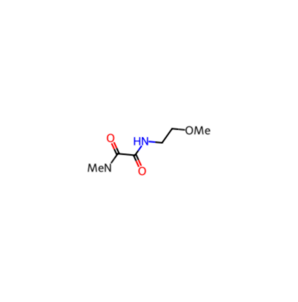 CNC(=O)C(=O)NCCOC